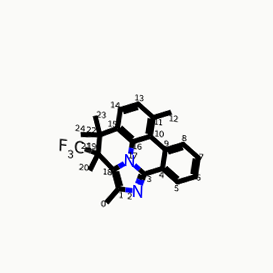 Cc1nc2c3ccccc3c3c(C)ccc4c3n2c1C(C)(C(F)(F)F)C4(C)C